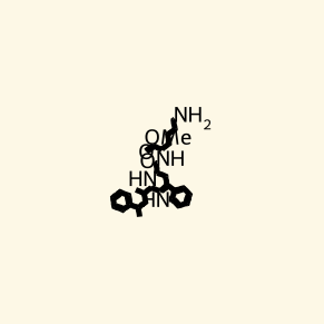 COC(=O)C(CCCCN)NC(=O)C1Cc2c([nH]c3ccccc23)C(C(C)CC(C)c2ccccc2)N1